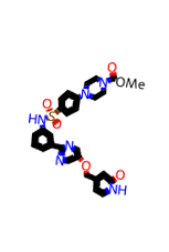 COC(=O)N1CCN(c2ccc(S(=O)(=O)Nc3cccc(-c4ncc(OCc5cc[nH]c(=O)c5)cn4)c3)cc2)CC1